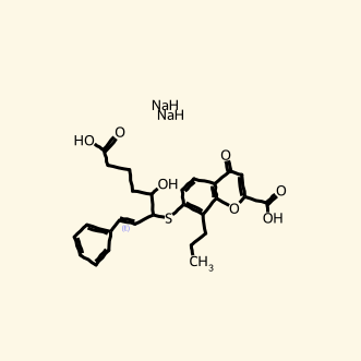 CCCc1c(SC(/C=C/c2ccccc2)C(O)CCCC(=O)O)ccc2c(=O)cc(C(=O)O)oc12.[NaH].[NaH]